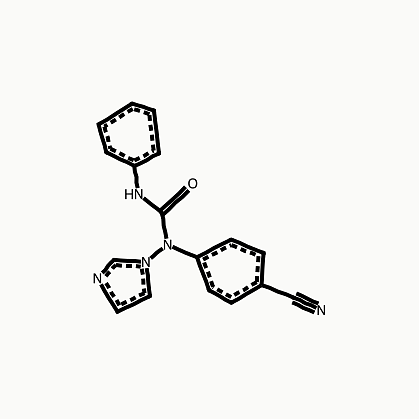 N#Cc1ccc(N(C(=O)Nc2ccccc2)n2ccnc2)cc1